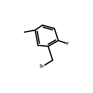 Cc1ccc(F)c(CBr)c1